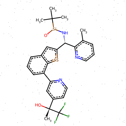 Cc1cccnc1[C@@H](N[S+]([O-])C(C)(C)C)c1cc2cccc(-c3cc([C@@](C)(O)C(F)(F)F)ccn3)c2s1